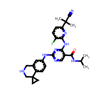 CC(C)NC(=O)c1cnc(Nc2ccc3c(c2)CNCC32CC2)nc1Nc1nc(C(C)(C)C#N)ccc1F